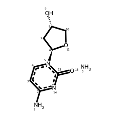 N.Nc1ccn([C@H]2C[C@H](O)CO2)c(=O)n1